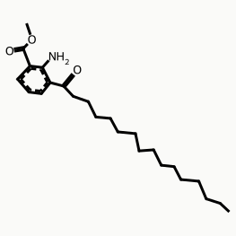 CCCCCCCCCCCCCCCC(=O)c1cccc(C(=O)OC)c1N